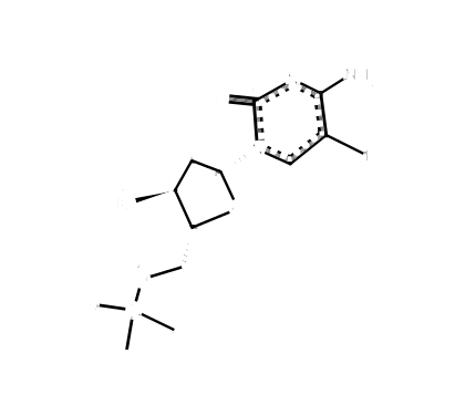 CC(C)(C)[Si](C)(C)OC[C@H]1O[C@@H](n2cc(I)c(N)nc2=O)C[C@@H]1O